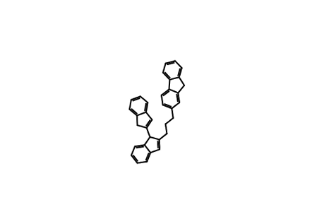 C1=C(CCCc2ccc3c(c2)Cc2ccccc2-3)C(C2=Cc3ccccc3C2)c2ccccc21